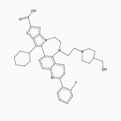 O=C(O)c1cc2c(s1)c(C1CCCCC1)c1n2CCN(CCN2CCC(CO)CC2)c2c-1ccc1nc(-c3ccccc3F)ccc21